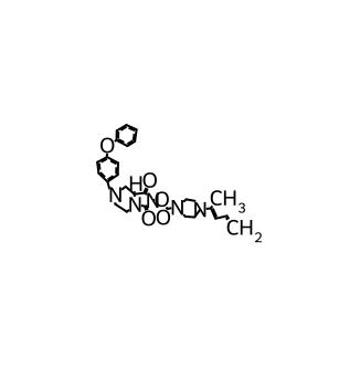 C=C/C=C(\C)N1CCN(C(=O)ON2C(=O)[C@H]3CN(Cc4ccc(Oc5ccccc5)cc4)CCN3C2=O)CC1